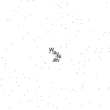 [Ni].[Rh].[Ru].[W]